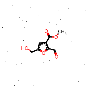 COC(=O)c1cc(CO)oc1C=O